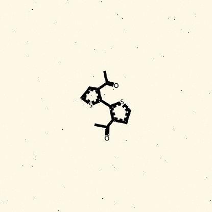 CC(=O)c1ccsc1-c1sccc1C(C)=O